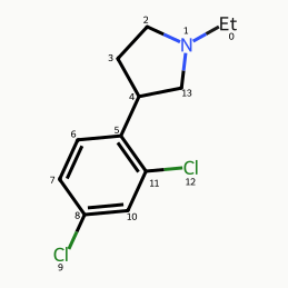 CCN1CCC(c2ccc(Cl)cc2Cl)C1